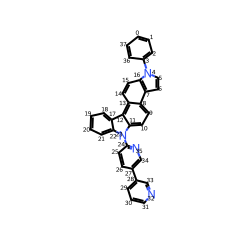 c1ccc(-n2ccc3c4ccc5c(c4ccc32)c2ccccc2n5-c2ccc(-c3cccnc3)cn2)cc1